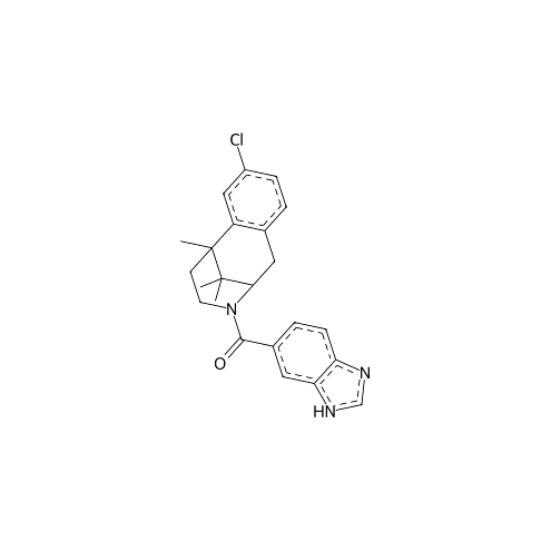 CC12CCN(C(=O)c3ccc4nc[nH]c4c3)C(Cc3ccc(Cl)cc31)C2(C)C